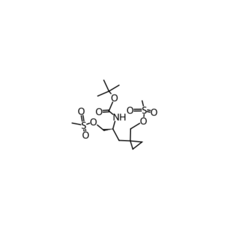 CC(C)(C)OC(=O)N[C@H](COS(C)(=O)=O)CC1(COS(C)(=O)=O)CC1